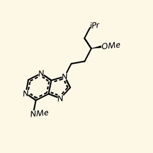 CNc1ncnc2c1ncn2CC[C@@H](CC(C)C)OC